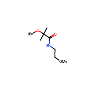 CCC(C)OC(C)(C)C(=O)NCCOC